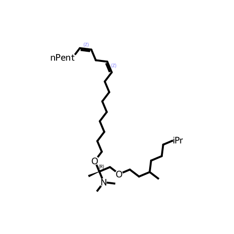 CCCCC/C=C\C/C=C\CCCCCCCCO[C@](C)(COCCC(C)CCCC(C)C)N(C)C